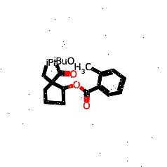 Cc1ccccc1C(=O)OC1CCCC1(CC(C)C)C(=O)OCC(C)C